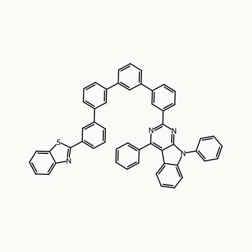 c1ccc(-c2nc(-c3cccc(-c4cccc(-c5cccc(-c6cccc(-c7nc8ccccc8s7)c6)c5)c4)c3)nc3c2c2ccccc2n3-c2ccccc2)cc1